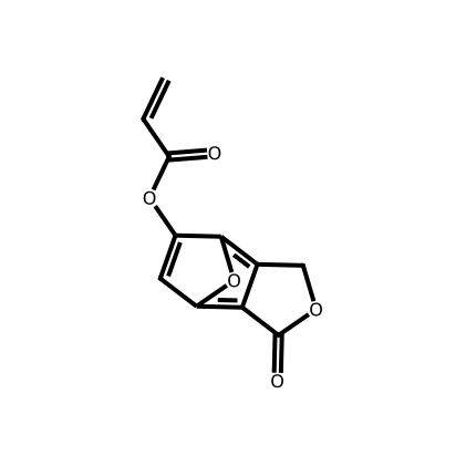 C=CC(=O)Oc1cc2oc1c1c2C(=O)OC1